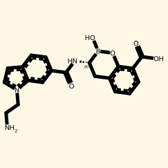 NCCn1ccc2ccc(C(=O)N[C@H]3Cc4cccc(C(=O)O)c4OB3O)cc21